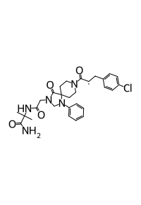 CC(C)(NC(=O)CN1CN(c2ccccc2)C2(CCN(C(=O)[CH]Cc3ccc(Cl)cc3)CC2)C1=O)C(N)=O